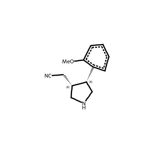 COc1ccccc1[C@@H]1CNC[C@@H]1CC#N